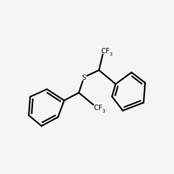 FC(F)(F)C(SC(c1ccccc1)C(F)(F)F)c1ccccc1